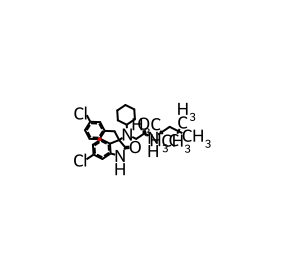 CC(C)(C)CC(C)(C)NC(=O)CN(C1CCCCC1)C1(Cc2cccc(Cl)c2)C(=O)Nc2cc(Cl)ccc21